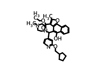 CCOC(=O)c1c(C)oc2c1c(C(c1ccnc(OCC3CCCC3)c1)N1CCN(C)CC1)c(O)c1ccccc12